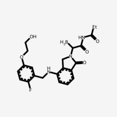 BC(C(=O)NC(=O)CC)N1Cc2c(NCc3cc(OCCO)ccc3F)cccc2C1=O